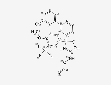 COc1ccc(C2(c3cccc(-c4cccc(Cl)c4)c3)COC(NOC=O)=N2)cc1C(F)(F)F